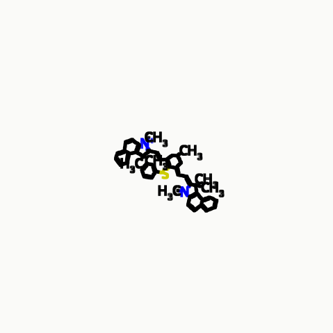 CC1CC(=CC=C2N(C)c3ccc4ccccc4c3C2(C)C)C(Sc2ccccc2)=C(C=CC2=[N+](C)c3ccc4ccccc4c3C2(C)C)C1